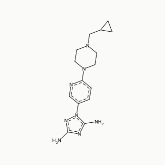 Nc1nc(N)n(-c2ccc(N3CCN(CC4CC4)CC3)nc2)n1